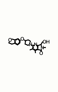 Cc1c(N2CCC(Oc3ccc4c(c3)COCC4)CC2)nc2c(c1C)C(=O)N(C)C2CO